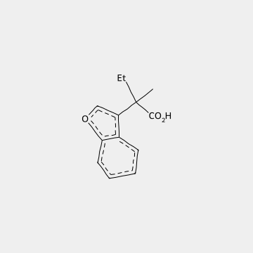 CCC(C)(C(=O)O)c1coc2ccccc12